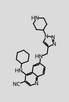 N#Cc1cnc2ccc(NCc3cn(C4CCNCC4)nn3)cc2c1NC1CCCCC1